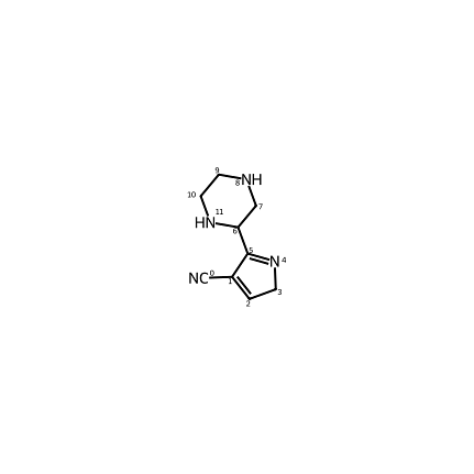 N#CC1=CCN=C1C1CNCCN1